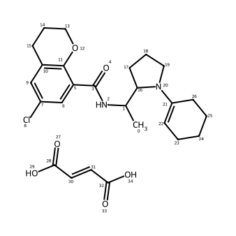 CC(NC(=O)c1cc(Cl)cc2c1OCCC2)C1CCCN1C1=CCCCC1.O=C(O)C=CC(=O)O